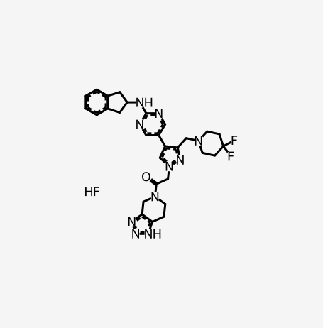 F.O=C(Cn1cc(-c2cnc(NC3Cc4ccccc4C3)nc2)c(CN2CCC(F)(F)CC2)n1)N1CCc2[nH]nnc2C1